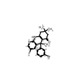 CC1(C)CC(=O)C2=C(C1)Nc1ncc(F)cc1C2(C)c1cccc(Br)c1